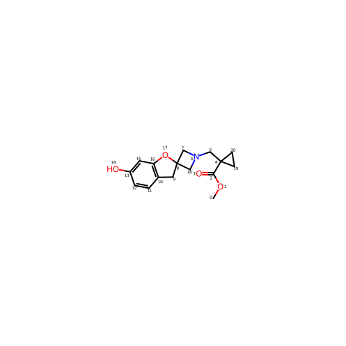 COC(=O)C1(CN2CC3(Cc4ccc(O)cc4O3)C2)CC1